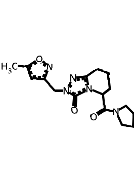 Cc1cc(Cn2nc3n(c2=O)C(C(=O)N2CCCC2)CCC3)no1